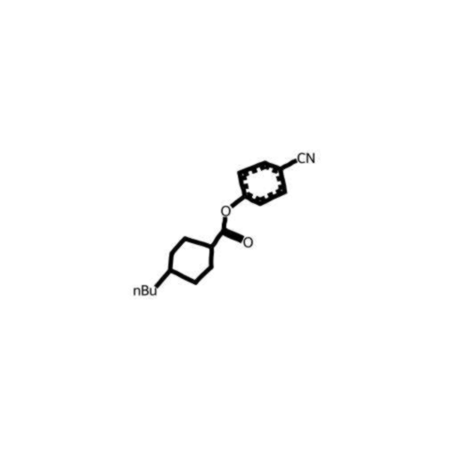 CCCCC1CCC(C(=O)Oc2ccc(C#N)cc2)CC1